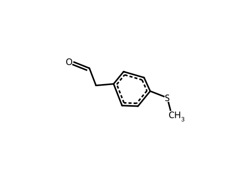 CSc1ccc(CC=O)cc1